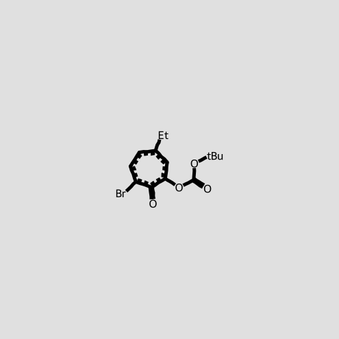 CCc1ccc(Br)c(=O)c(OC(=O)OC(C)(C)C)c1